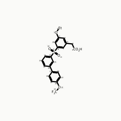 CCOc1cc(CC(=O)O)cc(S(=O)(=O)c2cccc(-c3ccc(OC(F)(F)F)cc3)c2)c1